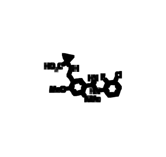 CNc1cc(OC)c(CNC2(C(=O)O)CC2)cc1C(=N)Nc1cccc(Cl)c1F